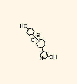 O=S(=O)(c1ccc(O)cc1)N1CCCC(c2cncc(O)c2)CC1